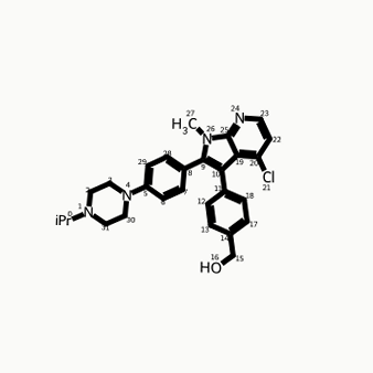 CC(C)N1CCN(c2ccc(-c3c(-c4ccc(CO)cc4)c4c(Cl)ccnc4n3C)cc2)CC1